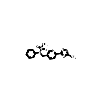 CS(=O)(=O)N(Cc1ccc(-c2nnc(C(F)(F)F)o2)nc1)c1ccccc1